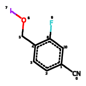 N#Cc1ccc(COI)c(F)c1